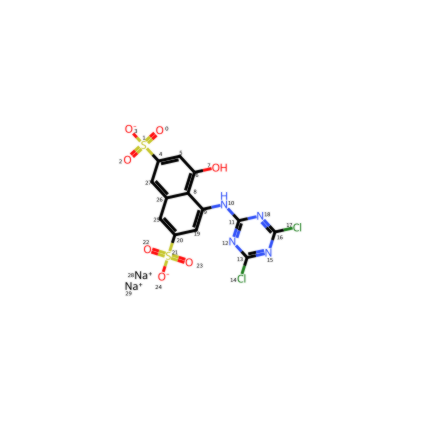 O=S(=O)([O-])c1cc(O)c2c(Nc3nc(Cl)nc(Cl)n3)cc(S(=O)(=O)[O-])cc2c1.[Na+].[Na+]